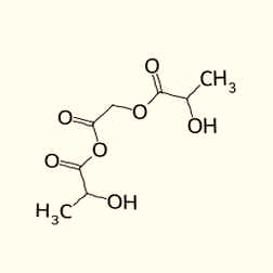 CC(O)C(=O)OCC(=O)OC(=O)C(C)O